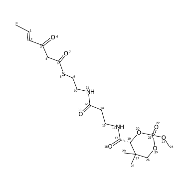 C/C=C/C(=O)CC(=O)SCCNC(=O)CCNC(=O)[C@@H]1OP(=O)(OC)OCC1(C)C